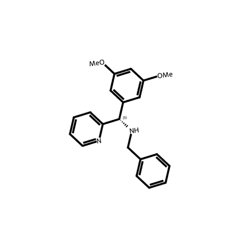 COc1cc(OC)cc([C@H](NCc2ccccc2)c2ccccn2)c1